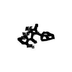 Cc1ccccc1C(=O)N1N(C2CCC3CC4CC2CC34)C(=O)C1(C)C